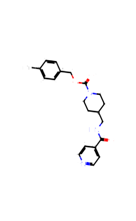 CC(C)c1ccc(COC(=O)N2CCC(CNC(=O)c3ccncc3)CC2)cc1